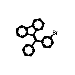 Brc1cccc(C(=C2c3ccccc3-c3ccccc32)c2ccccc2)c1